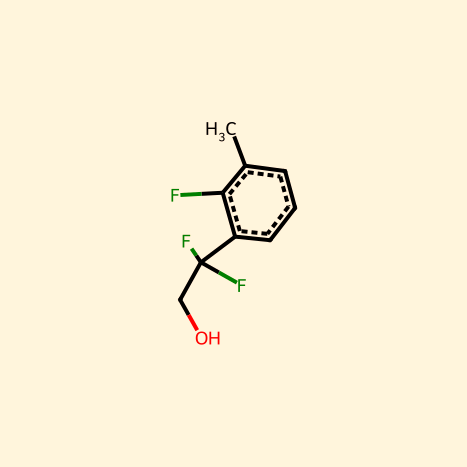 Cc1cccc(C(F)(F)CO)c1F